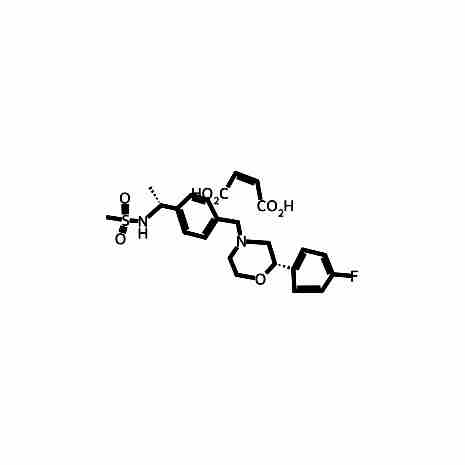 C[C@@H](NS(C)(=O)=O)c1ccc(CN2CCO[C@@H](c3ccc(F)cc3)C2)cc1.O=C(O)/C=C\C(=O)O